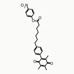 CC1=C(C)C(=O)C(c2ccc(CCCCCCC(=O)Oc3ccc([N+](=O)[O-])cc3)cc2)=C(C)C1=O